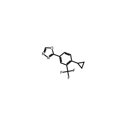 FC(F)(F)c1cc(-c2nnco2)ccc1C1CC1